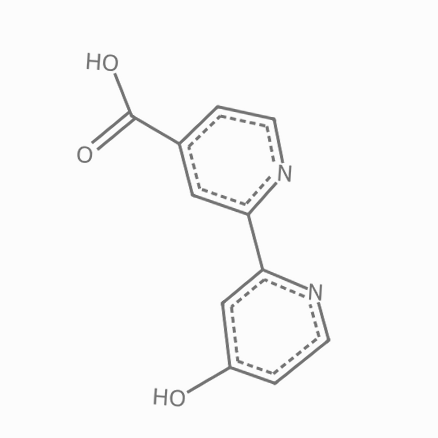 O=C(O)c1ccnc(-c2cc(O)ccn2)c1